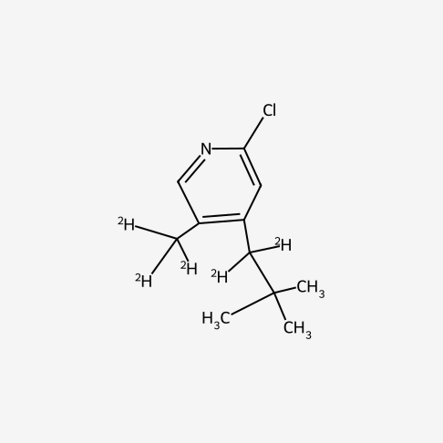 [2H]C([2H])([2H])c1cnc(Cl)cc1C([2H])([2H])C(C)(C)C